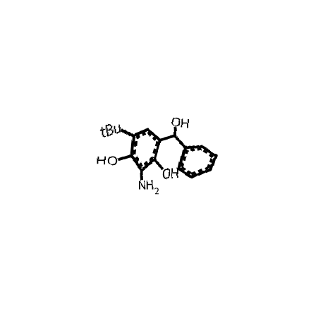 CC(C)(C)c1cc(C(O)c2ccccc2)c(O)c(N)c1O